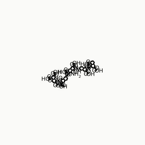 Nc1c(N=Nc2ccc3cc(S(=O)(=O)O)c(N=Nc4c(S(=O)(=O)O)ccc5c(S(=O)(=O)O)cc(S(=O)(=O)O)cc45)c(O)c3c2)c(S(=O)(=O)O)cc2cc(S(=O)(=O)O)c(N=Nc3ccc4c(O)c(N=Nc5cc(S(=O)(=O)O)cc6cccc(S(=O)(=O)O)c56)c(S(=O)(=O)O)cc4c3)c(O)c12